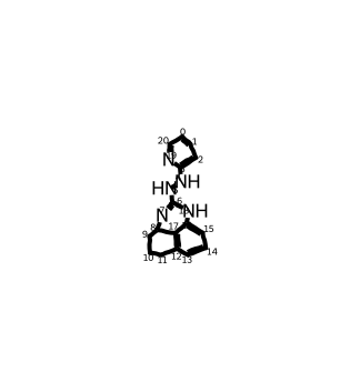 c1ccc(NNC2=NC3CCCc4cccc(c43)N2)nc1